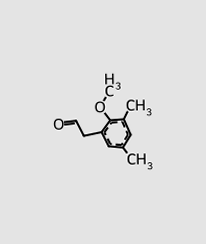 COc1c(C)cc(C)cc1CC=O